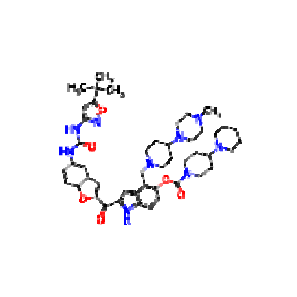 CN1CCN(C2CCN(Cc3c(OC(=O)N4CCC(N5CCCCC5)CC4)ccc4[nH]c(C(=O)C5=CC6C=C(NC(=O)Nc7cc(C(C)(C)C)on7)C=CC6O5)cc34)CC2)CC1